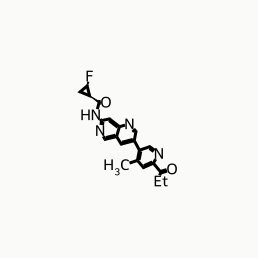 CCC(=O)c1cc(C)c(-c2cnc3cc(NC(=O)[C@H]4C[C@H]4F)ncc3c2)cn1